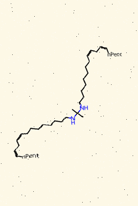 CCCCC/C=C\C/C=C\CCCCCCCCNC(C)(C)NCCCCCCCC/C=C\C/C=C\CCCCC